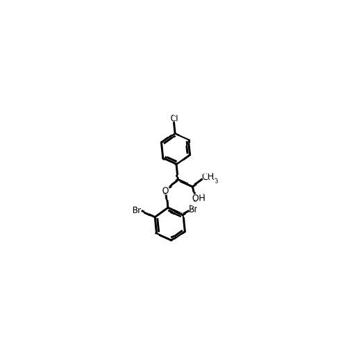 CC(O)C(Oc1c(Br)cccc1Br)c1ccc(Cl)cc1